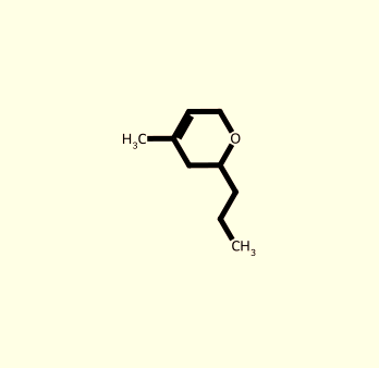 CCCC1CC(C)=CCO1